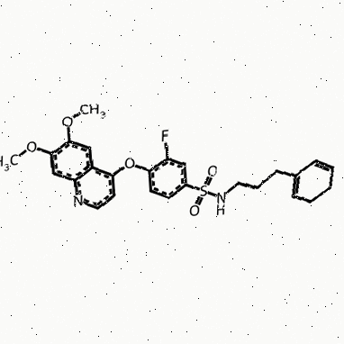 COc1cc2nccc(Oc3ccc(S(=O)(=O)NCCCC4=CCCC=C4)cc3F)c2cc1OC